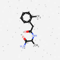 CC(NC(=O)Cc1ccccc1C(F)(F)F)C(N)=O